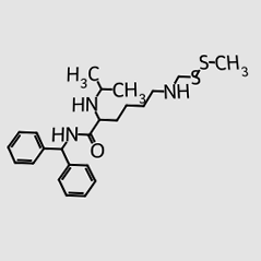 CSSCNCCCCC(NC(C)C)C(=O)NC(c1ccccc1)c1ccccc1